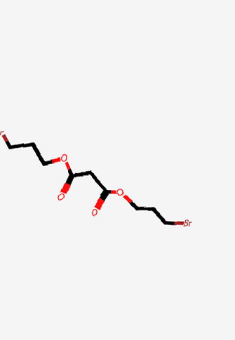 O=C(CC(=O)OCCCBr)OCCCBr